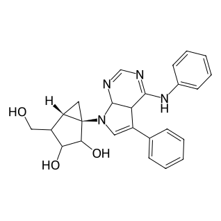 OCC1C(O)C(O)[C@@]2(N3C=C(c4ccccc4)C4C(Nc5ccccc5)=NC=NC43)C[C@@H]12